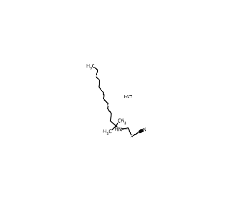 CCCCCCCCCCCC(C)(C)NCSC#N.Cl